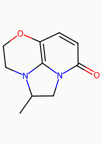 CC1Cn2c3c(ccc2=O)OCCN31